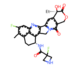 CC[C@]1(O)C(=O)OCc2c1cc1n(c2=O)Cc2c-1nc1cc(F)c(C)c3c1c2[C@H](NC(=O)C1(F)CNC1)CC3